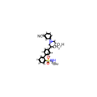 CC(CN(CC(=O)O)c1cccc(C#N)c1)c1ccc(-c2ccccc2S(=O)(=O)NC(C)(C)C)cc1